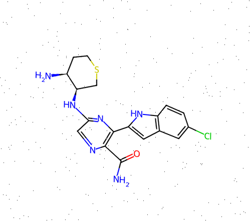 NC(=O)c1ncc(N[C@@H]2CSCC[C@@H]2N)nc1-c1cc2cc(Cl)ccc2[nH]1